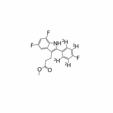 [2H]c1c([2H])c(-c2[nH]c3c(F)cc(F)cc3c2CCC(=O)OC)c([2H])c([2H])c1F